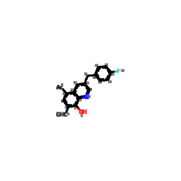 CC(=O)c1cc(C=O)c(O)c2ncc(Cc3ccc(F)cc3)cc12